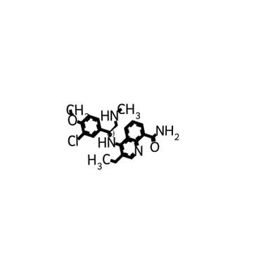 CCc1cnc2c(C(N)=O)cccc2c1N[C@H](CNC)c1ccc(OC)c(Cl)c1